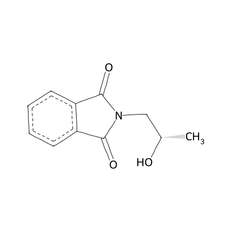 C[C@H](O)CN1C(=O)c2ccccc2C1=O